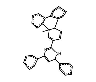 CC12C=C(C3=NC(c4ccccc4)=CC(c4ccccc4)N3)C=CC1c1ccccc1-c1ccccc12